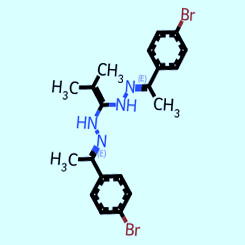 CC(C)=C(N/N=C(\C)c1ccc(Br)cc1)N/N=C(\C)c1ccc(Br)cc1